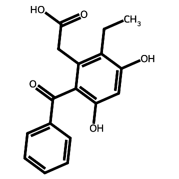 CCc1c(O)cc(O)c(C(=O)c2ccccc2)c1CC(=O)O